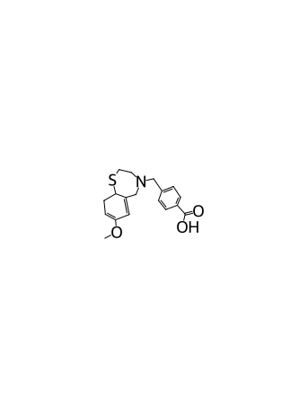 COC1=CCC2SCCN(Cc3ccc(C(=O)O)cc3)CC2=C1